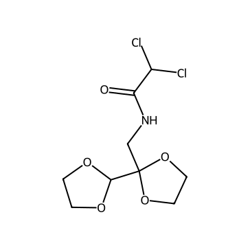 O=C(NCC1(C2OCCO2)OCCO1)C(Cl)Cl